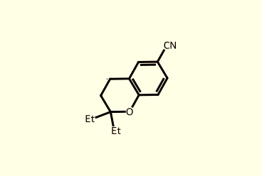 CCC1(CC)C[CH]c2cc(C#N)ccc2O1